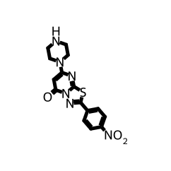 O=c1cc(N2CCNCC2)nc2sc(-c3ccc([N+](=O)[O-])cc3)nn12